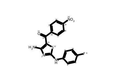 Nc1nc(Nc2ccc(F)cc2)sc1C(=O)c1ccc([N+](=O)[O-])cc1